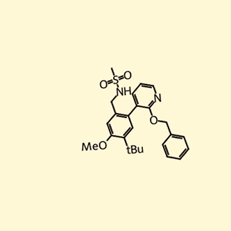 COc1cc(CNS(C)(=O)=O)c(-c2cccnc2OCc2ccccc2)cc1C(C)(C)C